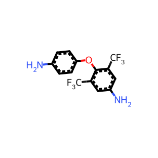 Nc1ccc(Oc2c(C(F)(F)F)cc(N)cc2C(F)(F)F)cc1